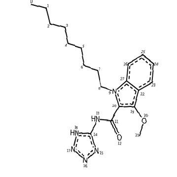 CCCCCCCCCn1c(C(=O)Nc2nnn[nH]2)c(OC)c2ccccc21